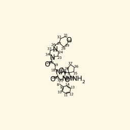 NC(=O)C1(C(=O)N[C@H](Cc2ccccc2)C(=O)NCCC(=O)N2CCN(CC3CCOCC3)CC2)CCCC1